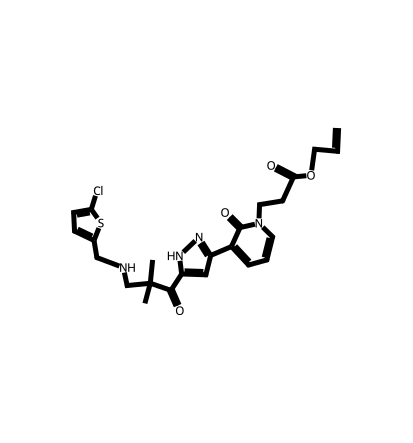 C=CCOC(=O)CCn1cccc(-c2cc(C(=O)C(C)(C)CNCc3ccc(Cl)s3)[nH]n2)c1=O